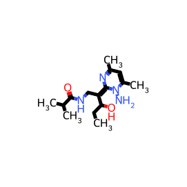 CCC(O)/C(CNC(=O)C(C)C)=C1/N=C(C)C=C(C)N1N